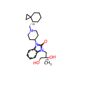 C[C@](O)(CO)Cn1c(=O)n(C2CCN(C[C@H]3CCCCC34CC4)CC2)c2ccccc21